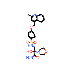 Cc1cc(COc2ccc(S(=O)(=O)NCC(O)(C(N)=O)N3CCOCC3)cc2)c2ccccc2n1